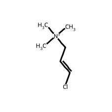 C[N+](C)(C)CC=CCl